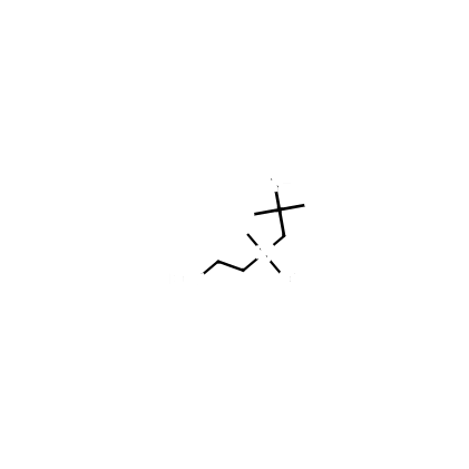 CC(C)(N)C[N+](C)(C)CCS(=O)(=O)O.[Cl-]